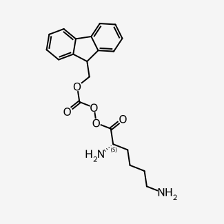 NCCCC[C@H](N)C(=O)OOC(=O)OCC1c2ccccc2-c2ccccc21